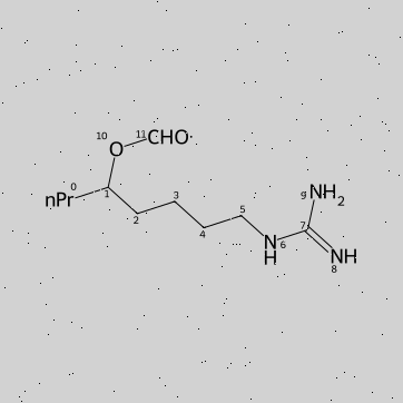 CCCC(CCCCNC(=N)N)O[C]=O